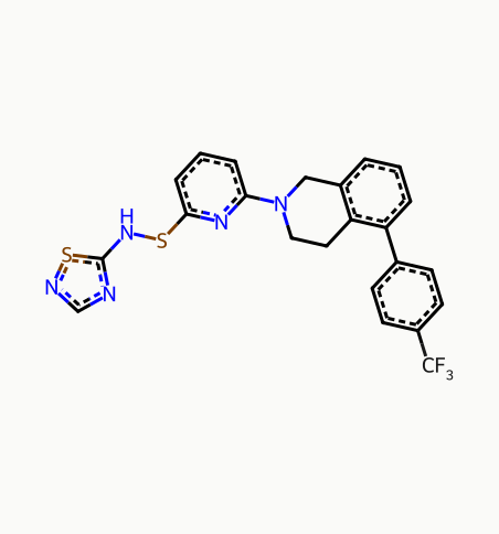 FC(F)(F)c1ccc(-c2cccc3c2CCN(c2cccc(SNc4ncns4)n2)C3)cc1